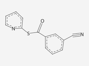 N#Cc1cccc(C(=O)Sc2ccccn2)c1